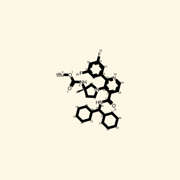 CC(C)(C)OC(=O)N[C@@]1(C)CCN(c2c(C(=O)NC(C3CCCCC3)C3CCCCC3)ccnc2-c2cc(F)cc(F)c2)C1